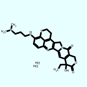 CCC1(O)C(=O)OCc2c1cc1n(c2=O)Cc2c-1nc1ccc(NCCCN(C)C)c3c1c2CCS3.Cl.Cl